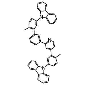 Cc1ccc(-n2c3ccccc3c3ccccc32)cc1-c1cccc(-c2cc(-c3cc(-n4c5ccccc5c5ccccc54)ccc3C)ccn2)c1